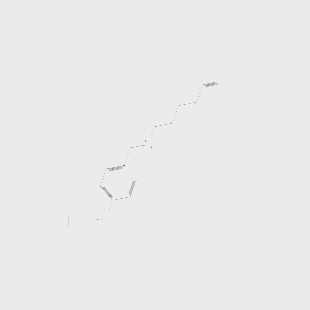 C=CCCCCNCc1ccc(OC)cc1